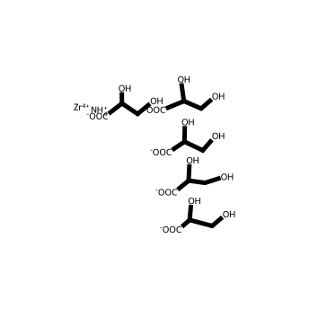 O=C([O-])C(O)CO.O=C([O-])C(O)CO.O=C([O-])C(O)CO.O=C([O-])C(O)CO.O=C([O-])C(O)CO.[NH4+].[Zr+4]